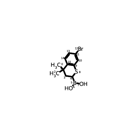 CC1(C)CC(B(O)O)Sc2cc(Br)ccc21